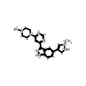 CC(C)N1CCN(c2cc(-c3n[nH]c4ccc(C5=CN(C)NC5)cc34)ncn2)CC1